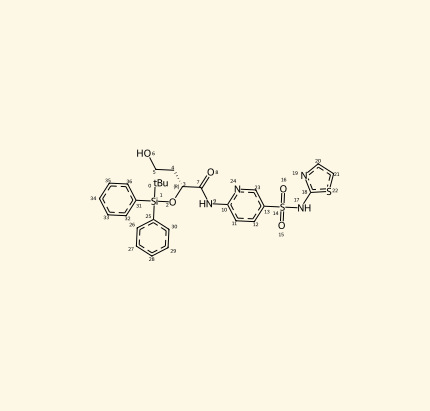 CC(C)(C)[Si](O[C@H](CCO)C(=O)Nc1ccc(S(=O)(=O)Nc2nccs2)cn1)(c1ccccc1)c1ccccc1